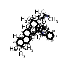 C/C=C(/C)C(=O)O[C@H]1[C@H](OC(=O)/C=C\c2ccccc2)[C@@]2([C@H](C)O)C(CC1(C)C)[C@@]1(O)CCC3[C@@]4(C)CC[C@H](O)C(C)(C)C4CC[C@@]3(C)[C@]1(C)C[C@H]2O